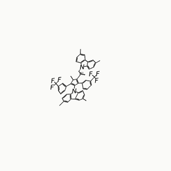 Cc1ccc2c(c1)c1cc(C)ccc1n2C[C@@H](C)C1=C(c2cccc(C(F)(F)F)c2)C(n2c3ccc(C)cc3c3cc(C)ccc32)=C(c2cccc(C(F)(F)F)c2)C1C